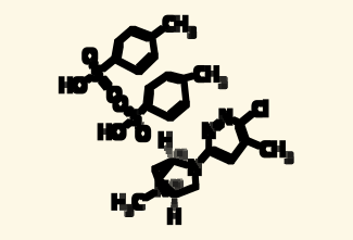 Cc1cc(N2C[C@@H]3C[C@H]2CN3C)nnc1Cl.Cc1ccc(S(=O)(=O)O)cc1.Cc1ccc(S(=O)(=O)O)cc1